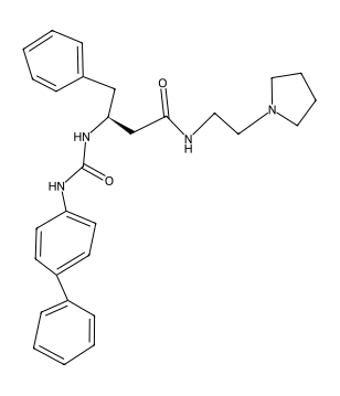 O=C(C[C@H](Cc1ccccc1)NC(=O)Nc1ccc(-c2ccccc2)cc1)NCCN1CCCC1